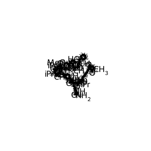 CC[C@H](C)[C@@H]([C@@H](CC(=O)N1CCC[C@H]1[C@H](OC)[C@@H](C)C(=O)N[C@H](C)[C@@H](O)c1ccccc1)OC)N(C)C(=O)[C@H](NC(=O)[C@H](C(C)C)N(C)C(=O)OCc1ccc(NC(=O)[C@H](CCCNC(N)=O)NC(=O)[C@@H](NC(=O)CCCCCN2C(=O)CC(C)C2=O)C(C)C)cc1)C(C)C